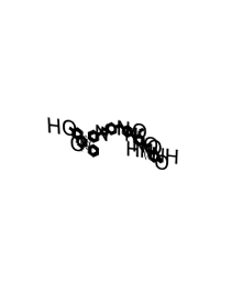 COc1cc(C(=O)N[C@@H]2CCC(=O)NC2=O)ncc1N1CCN(CC2CCC3(CC2)CN(c2ccc([C@H]4c5ccc(O)cc5OC[C@H]4c4ccccc4)cc2)C3)CC1